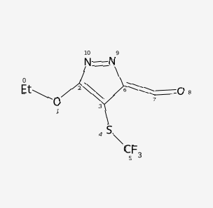 CCOC1=C(SC(F)(F)F)C(=C=O)N=N1